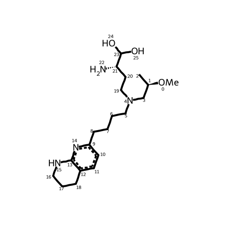 CO[C@H](C)CN(CCCCc1ccc2c(n1)NCCC2)CC[C@H](N)C(O)O